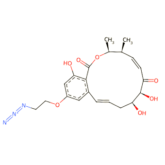 C[C@@H]1OC(=O)c2c(O)cc(OCCN=[N+]=[N-])cc2/C=C/C[C@H](O)[C@H](O)C(=O)/C=C\[C@@H]1C